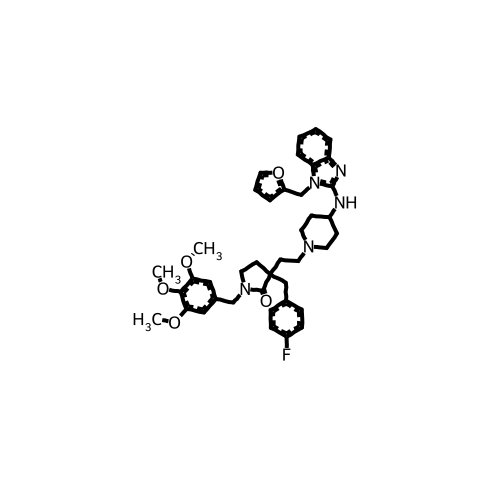 COc1cc(CN2CCC(CCN3CCC(Nc4nc5ccccc5n4Cc4ccco4)CC3)(Cc3ccc(F)cc3)C2=O)cc(OC)c1OC